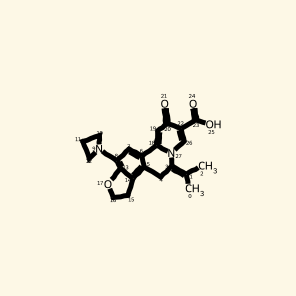 CC(C)=C1Cc2c(cc(N3CCC3)c3c2CCO3)-c2cc(=O)c(C(=O)O)cn21